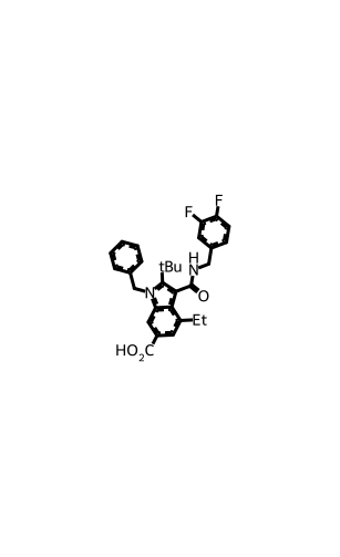 CCc1cc(C(=O)O)cc2c1c(C(=O)NCc1ccc(F)c(F)c1)c(C(C)(C)C)n2Cc1ccccc1